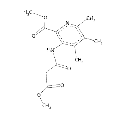 COC(=O)CC(=O)Nc1c(C(=O)OC)nc(C)c(C)c1C